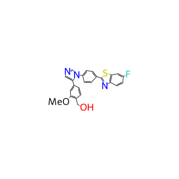 COc1cc(-c2cncn2-c2ccc(-c3nc4ccc(F)cc4s3)cc2)ccc1CO